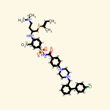 C/C=C(\C)SCC(CCN(C)C)Nc1ccc(S(=O)(=O)NC(=O)c2ccc(N3CCN(Cc4ccccc4-c4ccc(Cl)cc4)CC3)cc2)cc1[N+](=O)[O-]